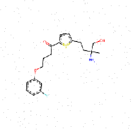 CC(N)(CO)CCc1ccc(C(=O)CCCOc2cccc(F)c2)s1